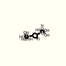 OC[C@H]1O[C@H](C#CC2CCCC(C#C[C@H]3O[C@H](CO)[C@@H](O)[C@H](O)[C@@H]3O)CC(Cl)CC2)[C@@H](O)[C@@H](O)[C@@H]1O